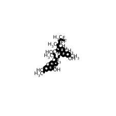 CC[C@]1(O)CC[C@@]2(C)C(=C[C@@H](O)[C@H]3[C@@H]4CC[C@H]([C@H](CC[C@@H]5C=C6C[C@@](C)(O)CC[C@]6(C)[C@H]6CC[C@]7(C)[C@@H]([C@H](C)CC[C@@H](C)C(F)(F)F)CC[C@H]7[C@H]56)CCC(C)(C)O)[C@@]4(C)CC[C@@H]32)C1